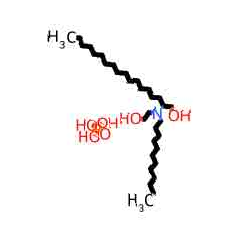 CCCCCCCCCCCCCCCCC(CO)N(CCO)CCCCCCCCCCCC.O=P(O)(O)O